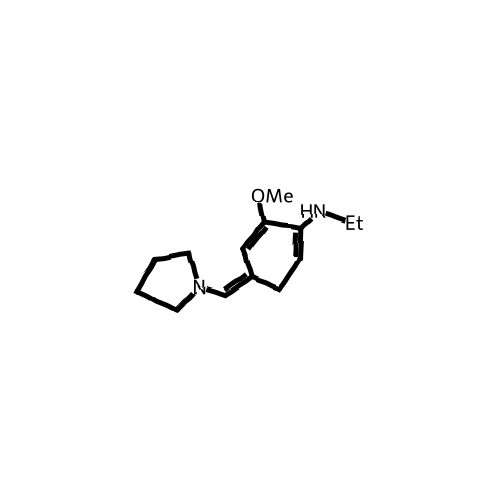 CCNC1=CCC(=CN2CCCC2)C=C1OC